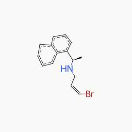 C[C@@H](NC/C=C\Br)c1cccc2ccccc12